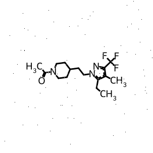 CCc1c(C)c(C(F)(F)F)nn1CCC1CCN(C(C)=O)CC1